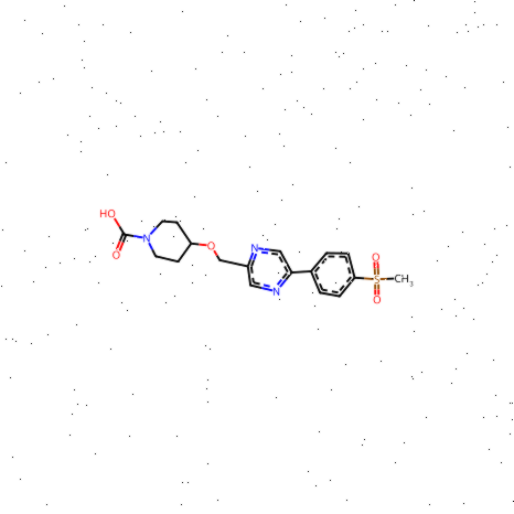 CS(=O)(=O)c1ccc(-c2cnc(COC3CCN(C(=O)O)CC3)cn2)cc1